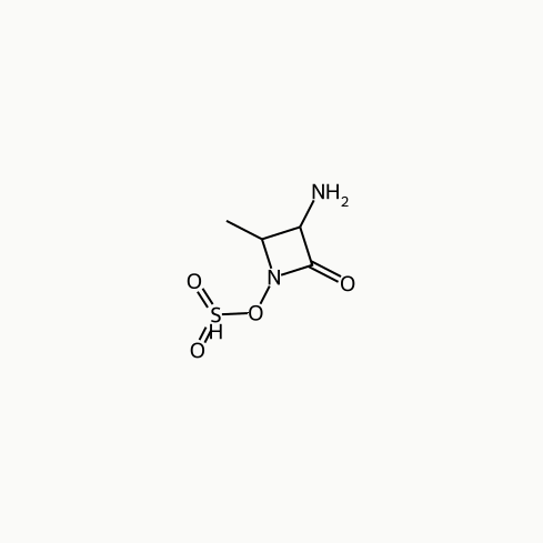 CC1C(N)C(=O)N1O[SH](=O)=O